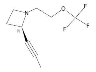 CC#C[C@H]1CCN1CCOC(F)(F)F